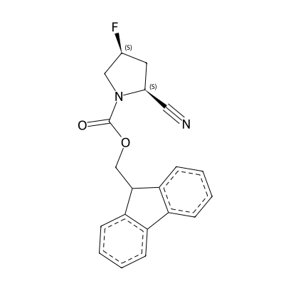 N#C[C@@H]1C[C@H](F)CN1C(=O)OCC1c2ccccc2-c2ccccc21